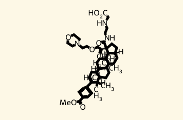 C=C(COCCN1CCOCC1)[C@@]1(C(=O)NCCNCC(=O)O)CC[C@@H]2CC[C@]3(C)[C@H](CC[C@@H]4[C@@]5(C)CC=C(c6ccc(C(=O)OC)cc6)C(C)(C)[C@@H]5CC[C@]43C)[C@H]21